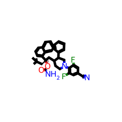 CC(C)(C)C[C@@](CC1CCN(c2c(F)cc(C#N)cc2F)CC1c1ccccc1)(OC(N)=O)c1cccc2ccccc12